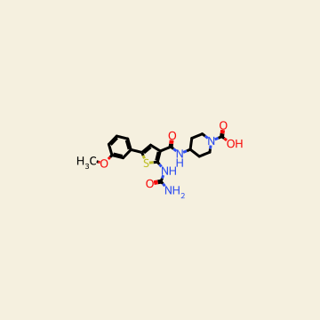 COc1cccc(-c2cc(C(=O)NC3CCN(C(=O)O)CC3)c(NC(N)=O)s2)c1